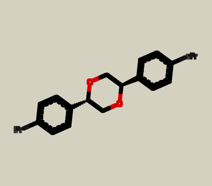 CCCc1ccc([C@@H]2CO[C@@H](c3ccc(C(C)C)cc3)CO2)cc1